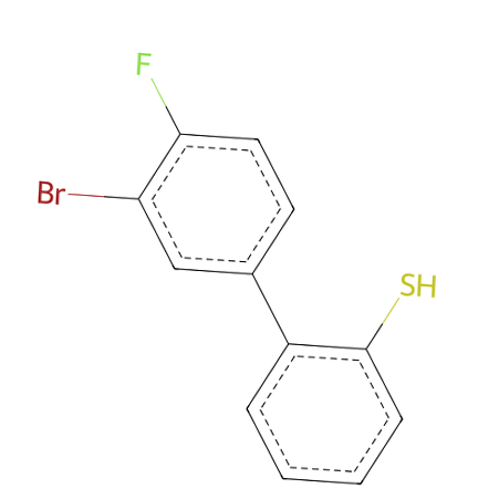 Fc1ccc(-c2ccccc2S)cc1Br